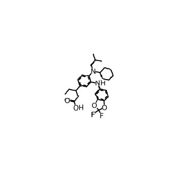 CCC(CC(=O)O)c1ccc(N(CC(C)C)C2CCCCC2)c(Nc2ccc3c(c2)OC(F)(F)O3)c1